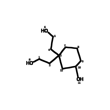 OCCC1(CCO)CCCC(O)C1